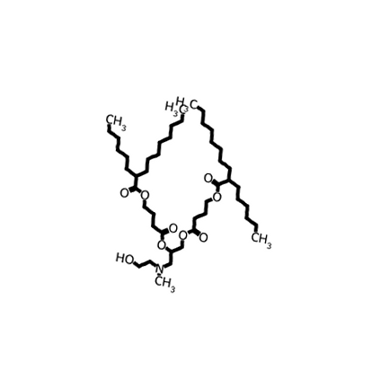 CCCCCCCCC(CCCCCC)C(=O)OCCCC(=O)OCC(CN(C)CCO)OC(=O)CCCOC(=O)C(CCCCCC)CCCCCCCC